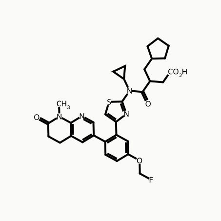 CN1C(=O)CCc2cc(-c3ccc(OCF)cc3-c3csc(N(C(=O)C(CC(=O)O)CC4CCCC4)C4CC4)n3)cnc21